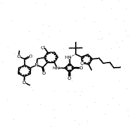 CCCCCc1cc([C@H](Nc2c(Nc3ccc(Cl)c4c3C(=O)N(c3cc(OC)ccc3C(=O)OC)C4)c(=O)c2=O)C(C)(C)C)oc1C